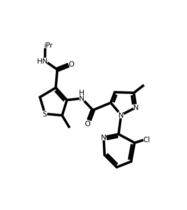 Cc1cc(C(=O)NC2=C(C(=O)NC(C)C)CSC2C)n(-c2ncccc2Cl)n1